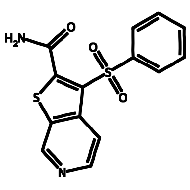 NC(=O)c1sc2cnccc2c1S(=O)(=O)c1ccccc1